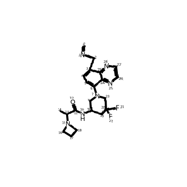 C=NCc1ccc(N2CC(NC(=O)C(C)N3CCC3)CC(F)(F)C2)c2nccnc12